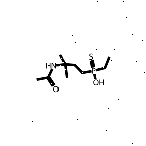 CCP(O)(=S)CCC(C)(C)NC(C)=O